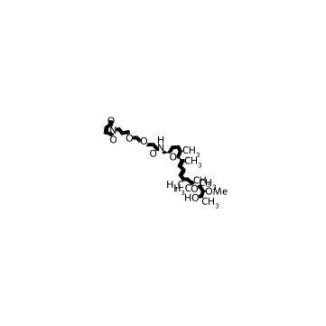 CO[C@@H]([C@@H](C)O)[C@@H](C)OC(C)(C)C[C@H](C)/C=C/C=C(\C)[C@H]1O[C@@H](CNC(=O)CCOCCOCCCN2C(=O)C=CC2=O)CC[C@@H]1C